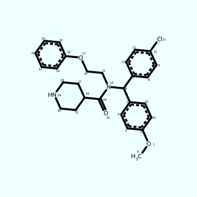 COc1ccc(C(c2ccc(Cl)cc2)N(CCOc2ccccc2)C(=O)C2CCNCC2)cc1